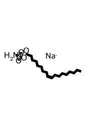 CCCCCCCC/C=C\CCCCCCCC(=O)OS(N)(=O)=O.[Na]